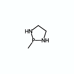 CP1NCCN1